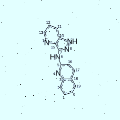 c1ccc2nc(Nc3n[nH]c4cccnc34)ccc2c1